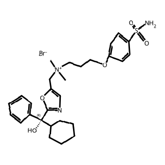 C[N+](C)(CCCOc1ccc(S(N)(=O)=O)cc1)Cc1cnc([C@](O)(c2ccccc2)C2CCCCC2)o1.[Br-]